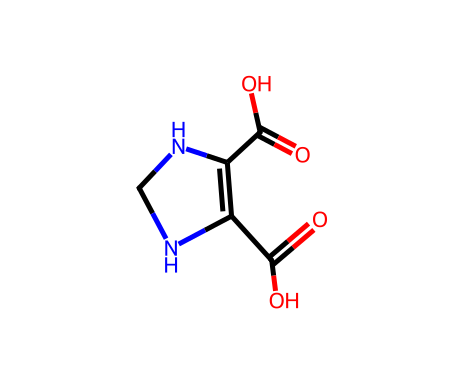 O=C(O)C1=C(C(=O)O)NCN1